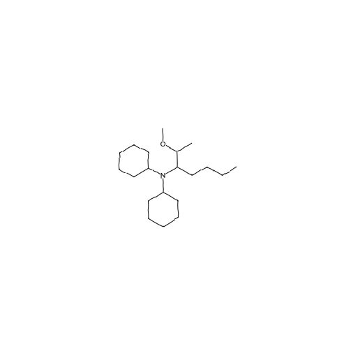 CCCCC(C(C)OC)N(C1CCCCC1)C1CCCCC1